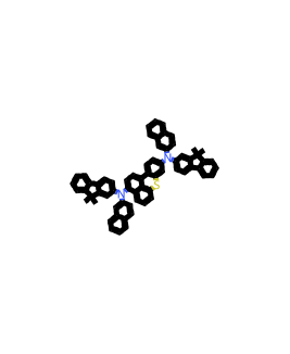 CC1(C)c2ccccc2-c2ccc(N(c3ccc4c(c3)Sc3cccc5c(N(c6ccc7c(c6)C(C)(C)c6ccccc6-7)c6ccc7ccccc7c6)ccc-4c35)c3ccc4ccccc4c3)cc21